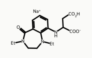 CCN1CCN(CC)c2c(NC(CC(=O)O)C(=O)[O-])cccc2C1=O.[Na+]